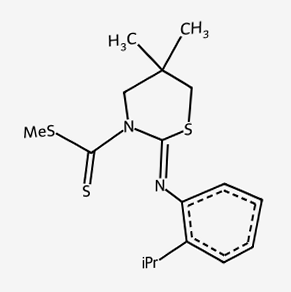 CSC(=S)N1CC(C)(C)CSC1=Nc1ccccc1C(C)C